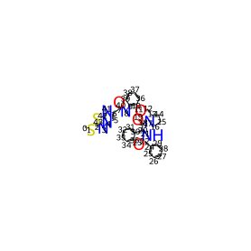 CSc1nn2cc(-c3nc4c(OC[C@H]5CCCN5C(=O)[C@H](NC(=O)c5ccccc5)c5ccccc5)cccc4o3)nc2s1